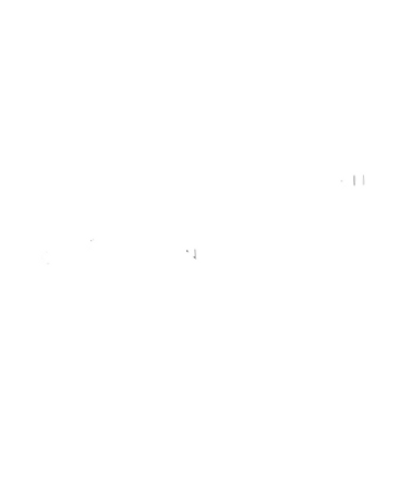 Cc1cccc(N2CCC(=O)CC2)c1